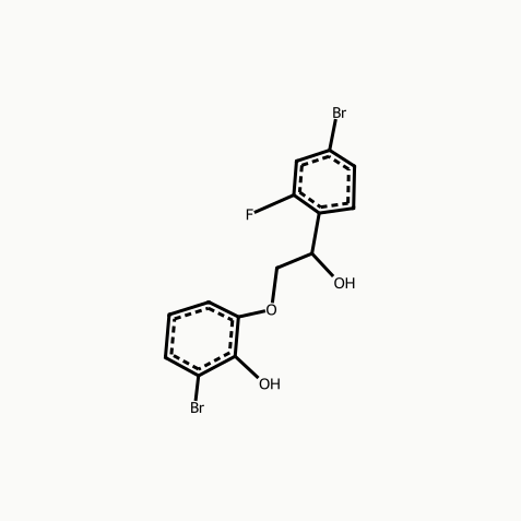 Oc1c(Br)cccc1OCC(O)c1ccc(Br)cc1F